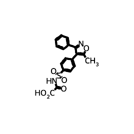 Cc1onc(-c2ccccc2)c1-c1ccc(S(=O)(=O)NC(=O)C(=O)O)cc1